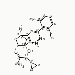 NC(=O)[C@H](O[C@]12CC[C@H](C1)c1cc(-c3c(F)cccc3F)nnc12)C1CC1